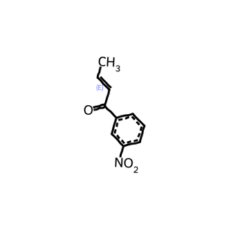 C/C=C/C(=O)c1cccc([N+](=O)[O-])c1